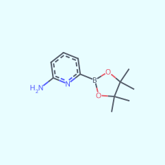 CC1(C)OB(c2cccc(N)n2)OC1(C)C